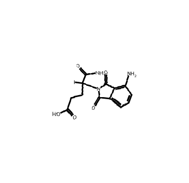 NC(=O)C(I)(CCC(=O)O)N1C(=O)c2cccc(N)c2C1=O